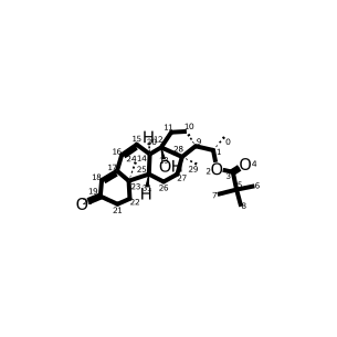 C[C@H](OC(=O)C(C)(C)C)[C@H]1CC[C@@]2(O)[C@@H]3C=CC4=CC(=O)CC[C@]4(C)[C@H]3CC[C@]12C